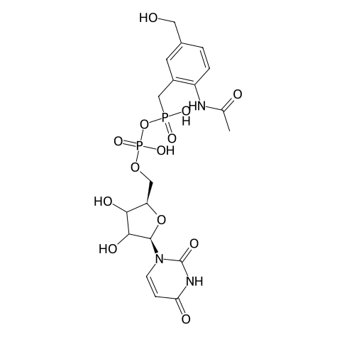 CC(=O)Nc1ccc(CO)cc1CP(=O)(O)OP(=O)(O)OC[C@H]1O[C@@H](n2ccc(=O)[nH]c2=O)C(O)C1O